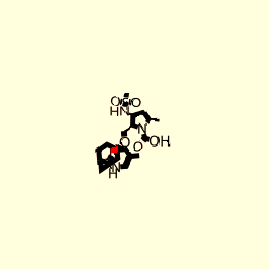 Cc1cnc([C@]23CC[C@@H](OC[C@H]4[C@@H](NS(C)(=O)=O)C[C@@H](C)N4C(=O)O)C[C@H]2C3)nc1